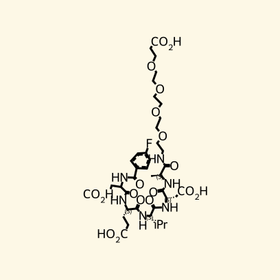 CC(C)[C@H](NC(=O)[C@H](CCC(=O)O)NC(=O)C(CC(=O)O)NC(=O)c1ccc(F)cc1)C(=O)N[C@@H](CC(=O)O)C(=O)N[C@@H](C)C(=O)NCCOCCOCCOCCOCCC(=O)O